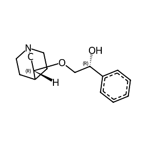 O[C@@H](CO[C@H]1CN2CCC1CC2)c1ccccc1